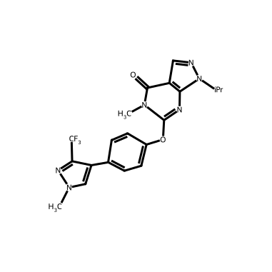 CC(C)n1ncc2c(=O)n(C)c(Oc3ccc(-c4cn(C)nc4C(F)(F)F)cc3)nc21